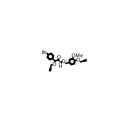 C#CCOc1ccc(CONC(=O)C(OCC#C)c2ccc(Br)cc2)cc1OC